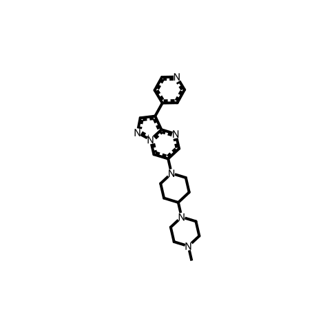 CN1CCN(C2CCN(c3cnc4c(-c5ccncc5)cnn4c3)CC2)CC1